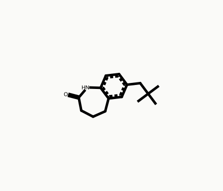 CC(C)(C)Cc1ccc2c(c1)CCCC(=O)N2